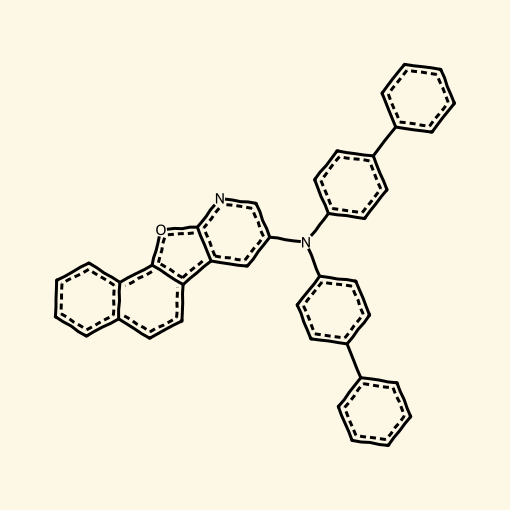 c1ccc(-c2ccc(N(c3ccc(-c4ccccc4)cc3)c3cnc4oc5c6ccccc6ccc5c4c3)cc2)cc1